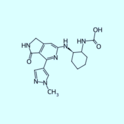 Cn1cc(-c2nc(N[C@@H]3CCCCC3NC(=O)O)cc3c2C(=O)NC3)cn1